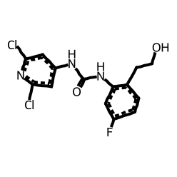 O=C(Nc1cc(Cl)nc(Cl)c1)Nc1cc(F)ccc1CCO